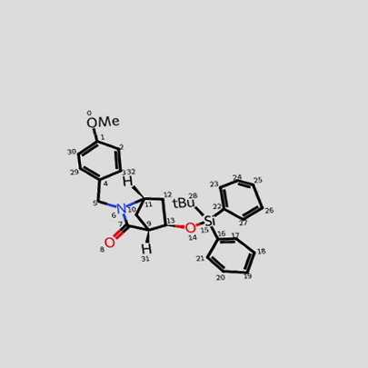 COc1ccc(CN2C(=O)[C@@H]3C[C@H]2C[C@H]3O[Si](c2ccccc2)(c2ccccc2)C(C)(C)C)cc1